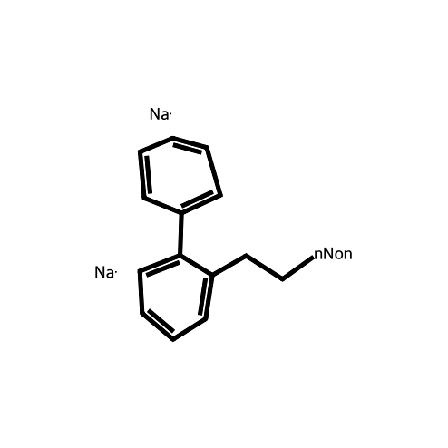 CCCCCCCCCCCc1ccccc1-c1ccccc1.[Na].[Na]